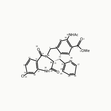 COC(=O)c1ccc(CN2C(=O)c3ccc(Cl)cc3NC(=O)[C@H]2Cc2ccccn2)cc1NC(C)=O